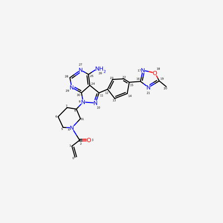 C=CC(=O)N1CCCC(n2nc(-c3ccc(-c4noc(C)n4)cc3)c3c(N)ncnc32)C1